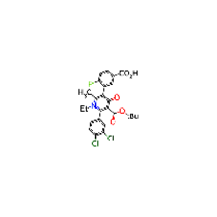 CCn1c(C)c(-c2cc(C(=O)O)ccc2F)c(=O)c(C(=O)OC(C)(C)C)c1-c1ccc(Cl)c(Cl)c1